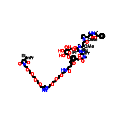 CCCC(CC)C1CC(=O)N(CCOCCOCCOCCOCc2cn(CCOCCOCCOCCNC(=O)CCc3cc4c(O[C@@H]5O[C@H](CO)[C@H](O)[C@H](O)[C@H]5O)ccc(COC(=O)N(C)[C@H](C(=O)N[C@H](C(=O)N(C)[C@@H]([C@@H](C)CC)[C@@H](CC(=O)N5CCC[C@H]5[C@H](OC)[C@@H](C)C(=O)N[C@H](C)[C@@H](O)c5ccccc5)OC)C(C)C)C(C)C)c4o3)nn2)C1=O